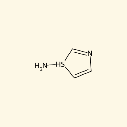 N[SH]1C=CN=C1